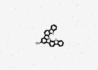 CC(C)(C)c1cc2c3ccc4c5ccccc5oc4c3n3c2c(c1)c1ccc2c4ccccc4oc2c13